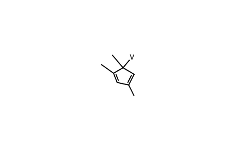 CC1=C[C](C)([V])C(C)=C1